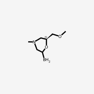 BC1CN(C)C[C@@H](COC)O1